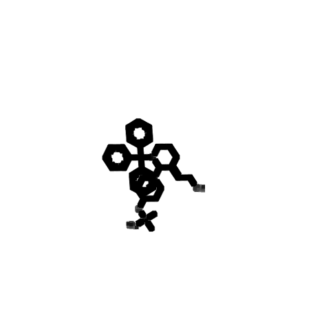 CC(C)(C)[Si](C)(C)OC1CCN(C2/C(=C/CO)CCCN2C(c2ccccc2)(c2ccccc2)c2ccccc2)CC1